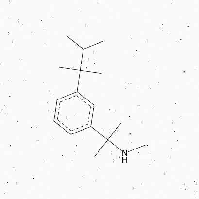 CNC(C)(C)c1cccc(C(C)(C)C(C)C)c1